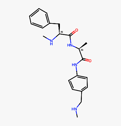 CNCc1ccc(NC(=O)[C@H](C)NC(=O)[C@H](Cc2ccccc2)NC)cc1